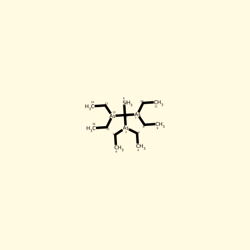 CC[As](CC)C([SiH3])([As](CC)CC)[As](CC)CC